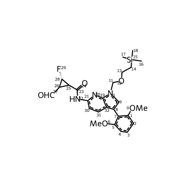 COc1cccc(OC)c1-c1cn(COCC[Si](C)(C)C)c2nc(NC(=O)C3C(C=O)[C@@H]3F)ccc12